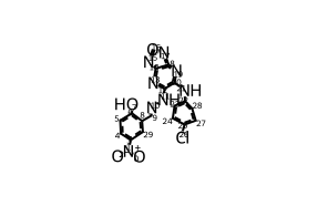 O=[N+]([O-])c1ccc(O)c(C=NNc2nc3nonc3nc2Nc2ccc(Cl)cc2)c1